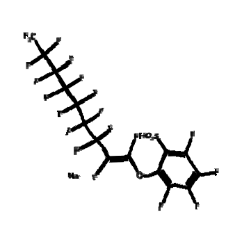 O=S(=O)(O)c1c(F)c(F)c(F)c(F)c1OC(F)=C(F)C(F)(F)C(F)(F)C(F)(F)C(F)(F)C(F)(F)C(F)(F)C(F)(F)F.[Na]